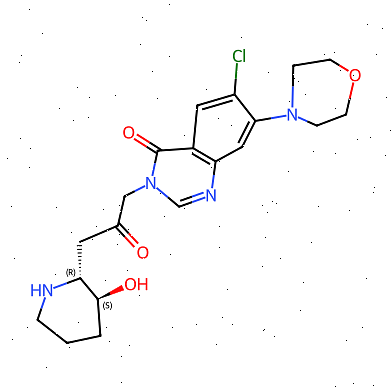 O=C(C[C@H]1NCCC[C@@H]1O)Cn1cnc2cc(N3CCOCC3)c(Cl)cc2c1=O